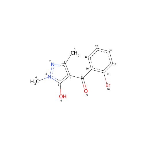 Cc1nn(C)c(O)c1C(=O)c1ccccc1Br